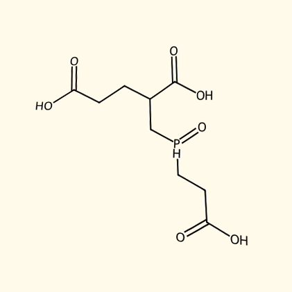 O=C(O)CCC(C[PH](=O)CCC(=O)O)C(=O)O